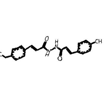 CCc1ccc(/C=C/C(=O)NNC(=O)/C=C/c2ccc(C)cc2)cc1